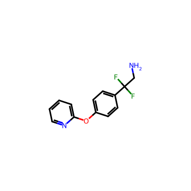 NCC(F)(F)c1ccc(Oc2ccccn2)cc1